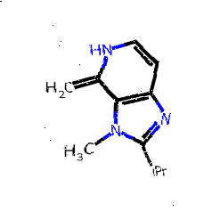 C=C1NC=Cc2nc(C(C)C)n(C)c21